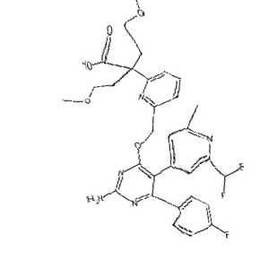 COCCC(CCOC)(C(=O)O)c1cccc(COc2nc(N)nc(-c3ccc(F)cc3)c2-c2cc(C)nc(C(F)F)c2)n1